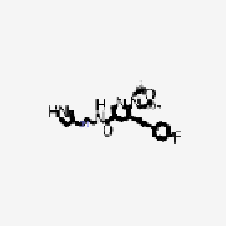 C[C@@H]1CN(c2ncc(C(=O)NC/C=C/c3cc[nH]c3)cc2C#Cc2ccc(F)cc2)C[C@H](C)O1